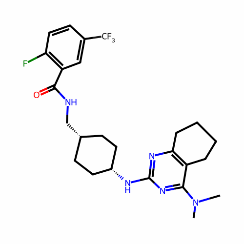 CN(C)c1nc(N[C@H]2CC[C@@H](CNC(=O)c3cc(C(F)(F)F)ccc3F)CC2)nc2c1CCCC2